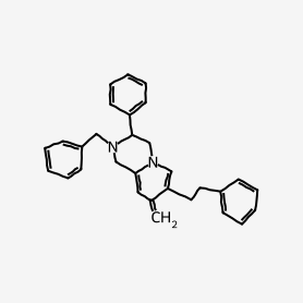 C=C1C=C2CN(Cc3ccccc3)C(c3ccccc3)CN2C=C1CCc1ccccc1